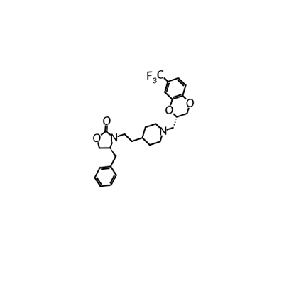 O=C1OC[C@H](Cc2ccccc2)N1CCC1CCN(C[C@H]2COc3ccc(C(F)(F)F)cc3O2)CC1